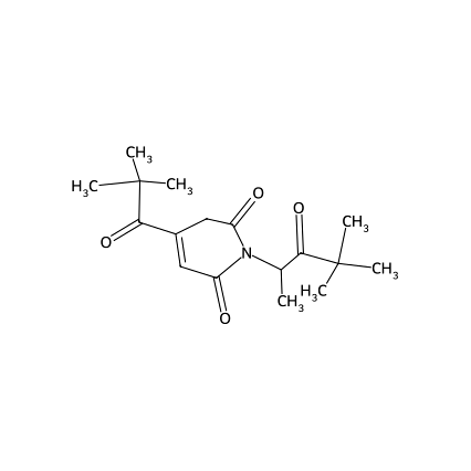 CC(C(=O)C(C)(C)C)N1C(=O)C=C(C(=O)C(C)(C)C)CC1=O